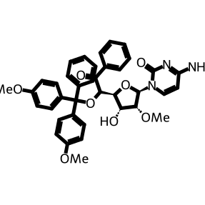 COc1ccc(C(OC(C(=O)c2ccccc2)[C@H]2O[C@@H](n3ccc(N)nc3=O)[C@H](OC)[C@@H]2O)(c2ccccc2)c2ccc(OC)cc2)cc1